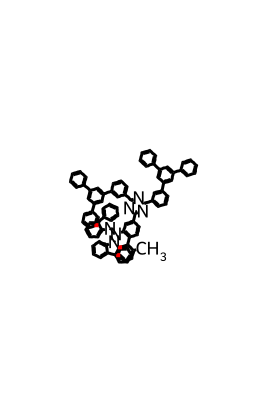 Cc1ccccc1-c1ccc(-c2nc(-c3cccc(-c4cc(-c5ccccc5)cc(-c5ccccc5)c4)c3)nc(-c3cccc(-c4cc(-c5ccccc5)cc(-c5ccccc5)c4)c3)n2)cc1N(n1c2ccccc2c2ccccc21)n1c2ccccc2c2ccccc21